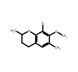 Cc1cc2c(c(F)c1OC(F)(F)F)OC(C)CC2